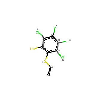 C=CSc1c(S)c(Cl)c(Cl)c(Cl)c1Cl